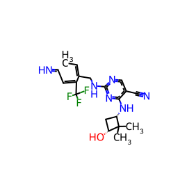 C/C=C(CNc1ncc(C#N)c(N[C@H]2C[C@@H](O)C2(C)C)n1)\C(=C/C=N)C(F)(F)F